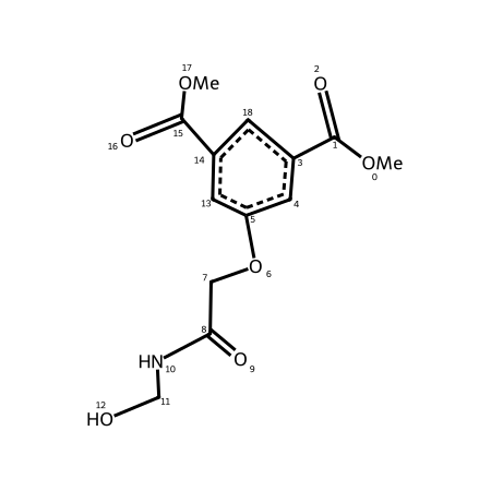 COC(=O)c1cc(OCC(=O)NCO)cc(C(=O)OC)c1